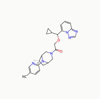 C[C@H]1CC2CN(C(=O)COC(c3cccc4ncnn34)C3CC3)CC1N2c1ccc(C#N)cn1